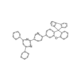 c1ccc(-c2cc(-c3ccccc3)nc(-c3ccc(-c4ccc5c(c4)Oc4ccccc4C54c5ccccc5-c5ccccc54)nc3)n2)cc1